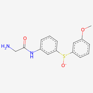 COc1cccc([S+]([O-])c2cccc(NC(=O)CN)c2)c1